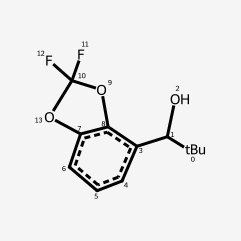 CC(C)(C)C(O)c1cccc2c1OC(F)(F)O2